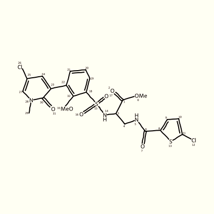 COC(=O)C(CNC(=O)c1ccc(Cl)s1)NS(=O)(=O)c1cccc(-c2cc(Cl)cn(C)c2=O)c1OC